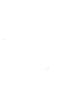 C=CCC1(CC=C)C(=O)CC(C)C1=O